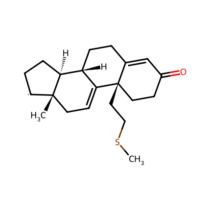 CSCC[C@]12CCC(=O)C=C1CC[C@@H]1C2=CC[C@]2(C)[CH]CC[C@@H]12